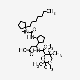 CCCCCCCC1(NC(=O)NC2CCCC2C(CC(=O)O)NC(=O)C2OC(C)(C)OCC2(C)C)CCCC1